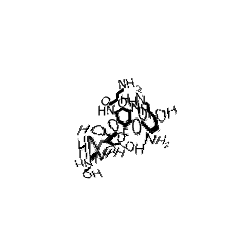 N=C(NCCO)N[C@@H]1C(O)[C@@H](CO)OC(OC2C(F)[C@H](O[C@H]3OC(CN)[C@@H](O)CC3N)C(N)C[C@H]2NC(=O)[C@@H](O)CCN)[C@@H]1O